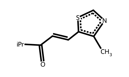 Cc1ncsc1C=CC(=O)C(C)C